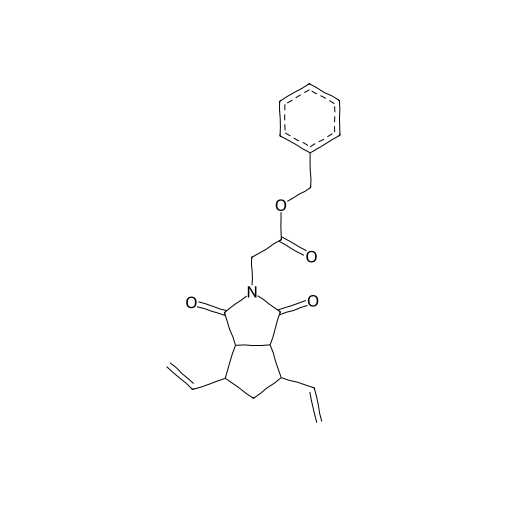 C=CC1CC(C=C)C2C(=O)N(CC(=O)OCc3ccccc3)C(=O)C12